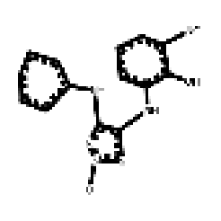 [C-]#[N+]c1cccc(Nc2n[s+]([O-])nc2Nc2ccccc2)c1O